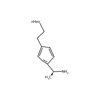 CCCCCCCCc1ccc([C@H](C)N)cc1